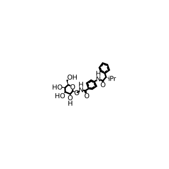 CC(C)[C@H](C(=O)Nc1ccc(C(=O)NO[C@@H]2O[C@H](CO)[C@H](O)[C@H](O)[C@H]2O)cc1)c1ccccc1